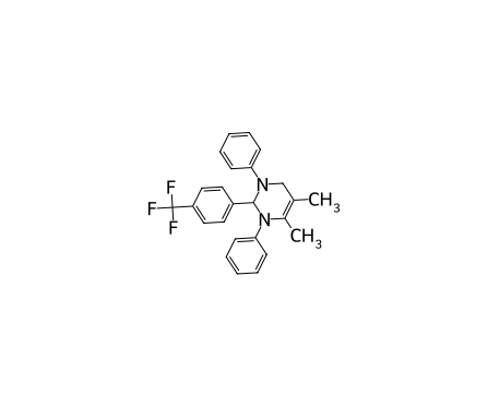 CC1=C(C)N(c2ccccc2)C(c2ccc(C(F)(F)F)cc2)N(c2ccccc2)C1